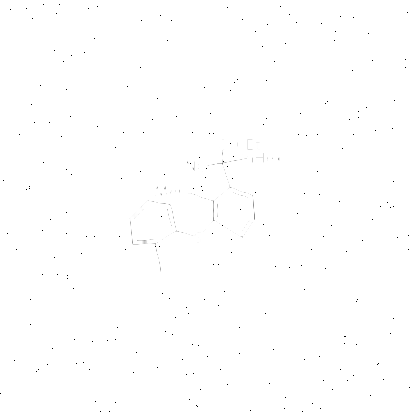 CCCCCCC(C#N)(C(=O)OCC)c1cccc(Sc2ccccc2C)c1OC